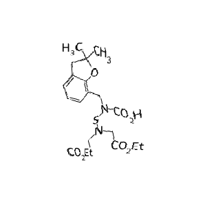 CCOC(=O)CN(CC(=O)OCC)SN(Cc1cccc2c1OC(C)(C)C2)C(=O)O